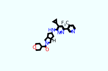 O=C(C1CCOCC1)N1CC2C[C@@H](Nc3nnc(-c4cnccc4C(F)(F)F)cc3C3CC3)C[C@@H]2C1